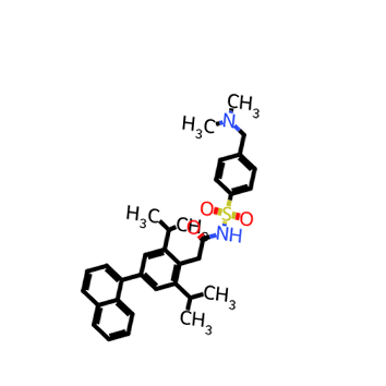 CC(C)c1cc(-c2cccc3ccccc23)cc(C(C)C)c1CC(=O)NS(=O)(=O)c1ccc(CN(C)C)cc1